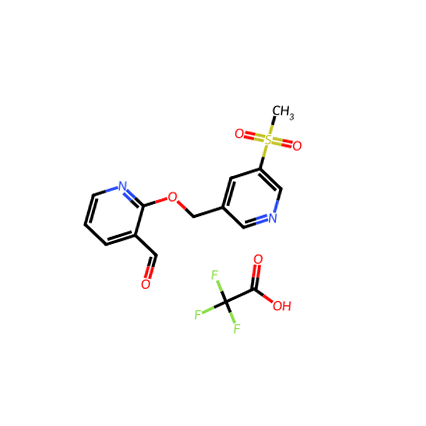 CS(=O)(=O)c1cncc(COc2ncccc2C=O)c1.O=C(O)C(F)(F)F